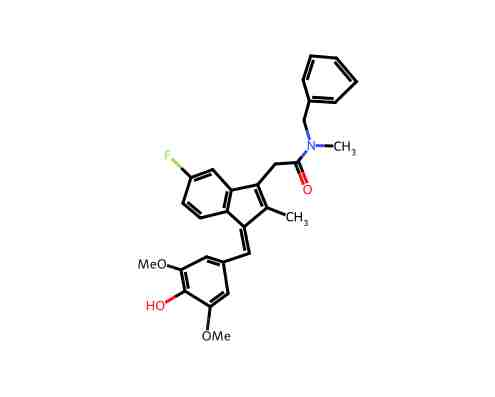 COc1cc(/C=C2/C(C)=C(CC(=O)N(C)Cc3ccccc3)c3cc(F)ccc32)cc(OC)c1O